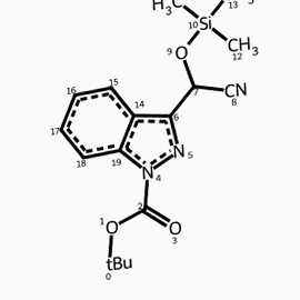 CC(C)(C)OC(=O)n1nc(C(C#N)O[Si](C)(C)C)c2ccccc21